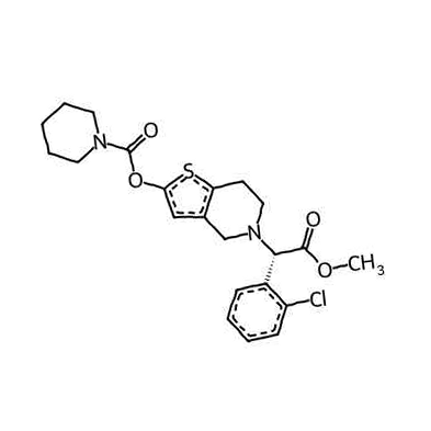 COC(=O)[C@H](c1ccccc1Cl)N1CCc2sc(OC(=O)N3CCCCC3)cc2C1